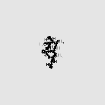 CCNCCN(CCNCCN(CCNCCN(CCN)CCN(CCNC1CCC1)CCN(CCNC)CCNC1CCC1)CCN(C)CCNCCNCCNC1CCC1)C1CCCC1